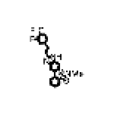 CNS(=O)(=O)c1ccccc1-c1ccc2[nH]c(C=Cc3ccc(C(F)(F)F)c(F)c3)nc2c1